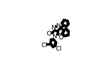 O=C1C2N=NC(c3ccccc3)(c3ccccc3)C2C(=O)N1c1cc(Cl)cc(Cl)c1